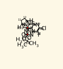 CC(C)(C)OC(=O)N[C@@H]1C[C@@H]2CC[C@H]([C@H]1F)N2c1nc(Cl)nc2c(F)c(Cl)ncc12